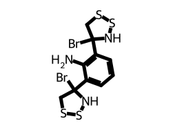 Nc1c(C2(Br)CSSN2)cccc1C1(Br)CSSN1